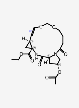 CCOC(=O)[C@@]12C[C@H]1/C=C\CCCCCCC(=O)N1C[C@H](OC(C)=O)C[C@H]1C(=O)N2